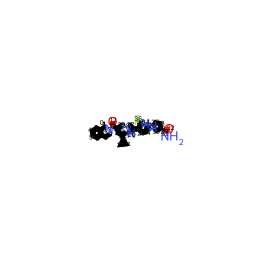 C[C@@H]1c2ccccc2CCN1C(=O)c1cc(C2CC2)c2nc(-c3ccc(N4CC[C@H](C(N)=O)C4)nc3F)cn2c1